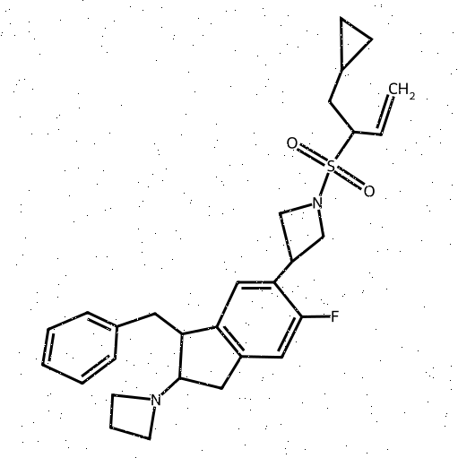 C=CC(CC1CC1)S(=O)(=O)N1CC(c2cc3c(cc2F)CC(N2CCC2)C3Cc2ccccc2)C1